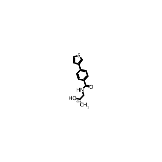 C[C@H](O)CNC(=O)c1ccc(-c2ccsc2)cc1